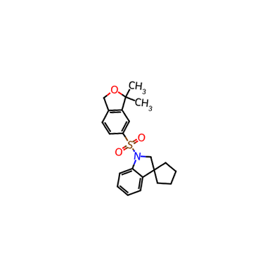 CC1(C)OCc2ccc(S(=O)(=O)N3CC4(CCCC4)c4ccccc43)cc21